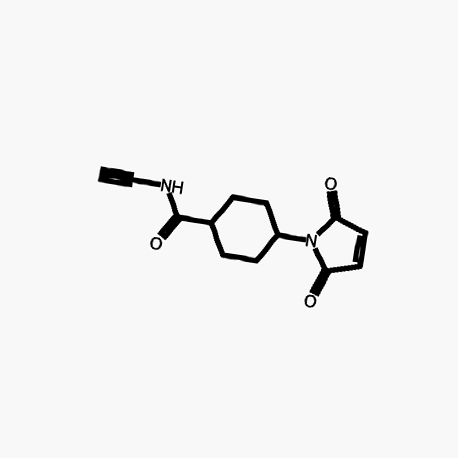 C#CNC(=O)C1CCC(N2C(=O)C=CC2=O)CC1